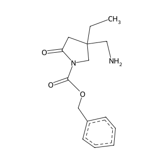 CCC1(CN)CC(=O)N(C(=O)OCc2ccccc2)C1